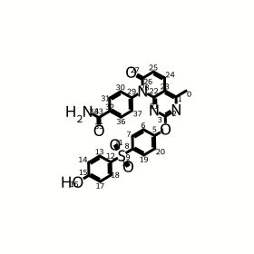 Cc1nc(Oc2ccc(S(=O)(=O)c3ccc(O)cc3)cc2)nc2c1ccc(=O)n2-c1ccc(C(N)=O)cc1